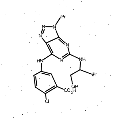 CC(C)C(CO)Nc1nc(Nc2ccc(Cl)c(C(=O)O)c2)c2nnn(C(C)C)c2n1